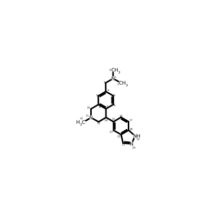 CN(C)Cc1ccc2c(c1)CN(C)CC2c1ccc2[nH]ncc2c1